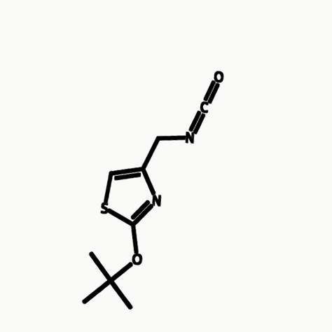 CC(C)(C)Oc1nc(CN=C=O)cs1